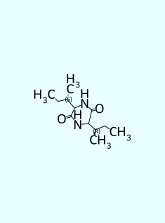 CC[C@@H](C)C1NC(=O)C([C@@H](C)CC)NC1=O